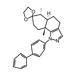 C[C@@H]1[C@H]2CCc3cnn(-c4ccc(-c5ccccc5)cc4)c3[C@]2(C)CCC12OCCO2